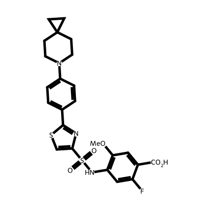 COc1cc(C(=O)O)c(F)cc1NS(=O)(=O)c1csc(-c2ccc(N3CCC4(CC3)CC4)cc2)n1